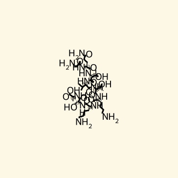 CC(C)[C@H](NC(=O)[C@@H](NC(=O)[C@H](CCC(N)=O)NC(=O)CN)[C@@H](C)O)C(=O)N[C@H](C(=O)N[C@@H](CCCCN)C(=O)N[C@@H](CCCCN)C(=O)N[C@@H](CO)C(=O)N[C@@H](C)C(=O)O)[C@@H](C)O